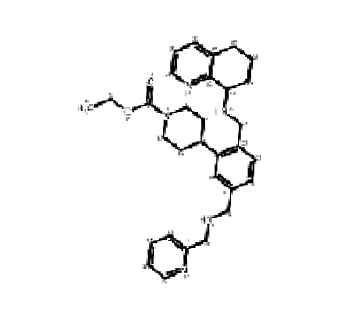 CCOC(=O)N1CCC(c2cc(CNCc3ccccn3)ccc2CNC2CCCc3cccnc32)CC1